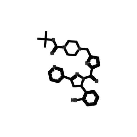 CC(C)(C)OC(=O)N1CCN(Cc2ccc(C(=O)N3N=C(c4cccnc4)CC3c3ccccc3O)s2)CC1